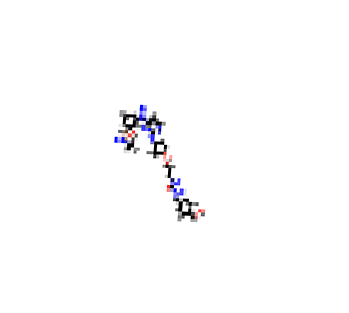 Cc1cc(CNC(=O)NCCCOc2ccc(Nc3ncc(C)c(Nc4cccc(S(=O)(=O)NC(C)(C)C)c4)n3)cc2)ccc1C=O